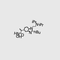 C=C(C(=O)NO)c1ccc2c(c1)nc(CCCC)n2CCN(C(C)C)C(C)C